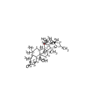 [2H]C1=C2C([2H])([2H])C[C@@H]3[C@H]([C@@H](O)C[C@@]4(C)[C@H]3C[C@H]3OC([2H])(CCC)O[C@]34C(=O)C([2H])([2H])O)[C@@]2(C)C=CC1=O